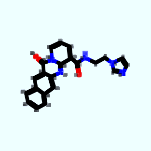 O=C(NCCn1ccnc1)c1cccn2c(=O)c3cc4ccccc4cc3nc12